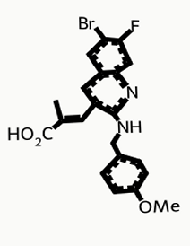 COc1ccc(CNc2nc3cc(F)c(Br)cc3cc2/C=C(\C)C(=O)O)cc1